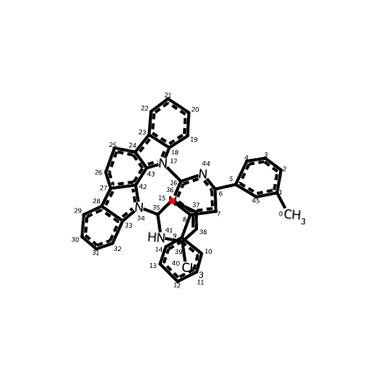 Cc1cccc(-c2cc(-c3ccccc3)nc(-n3c4ccccc4c4ccc5c6ccccc6n(C6CC=CC(C)N6)c5c43)n2)c1